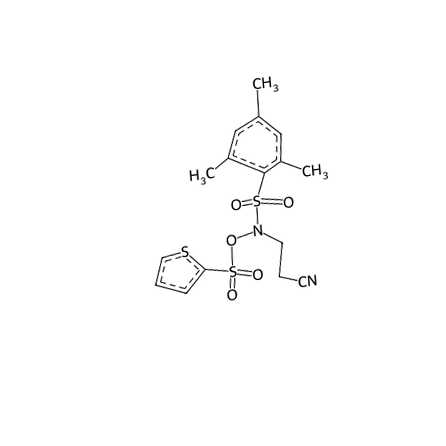 Cc1cc(C)c(S(=O)(=O)N(CCC#N)OS(=O)(=O)c2cccs2)c(C)c1